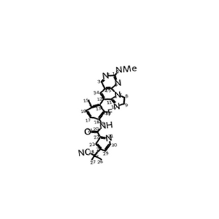 CNc1ncc2c(n1)N1CCN=C1C(c1c(C)ccc(NC(=O)c3cc(C(C)(C)C#N)ccn3)c1F)=C2